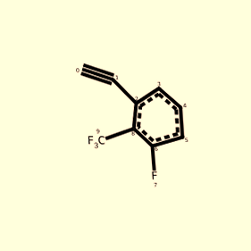 C#Cc1cccc(F)c1C(F)(F)F